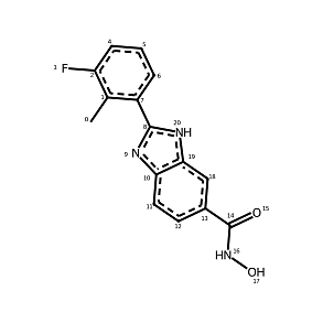 Cc1c(F)cccc1-c1nc2ccc(C(=O)NO)cc2[nH]1